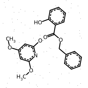 COc1cc([O])nc(OC)c1.O=C(OCc1ccccc1)c1ccccc1O